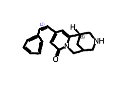 O=c1cc(/C=C\c2ccccc2)cc2n1CC1CNC[C@@H]2C1